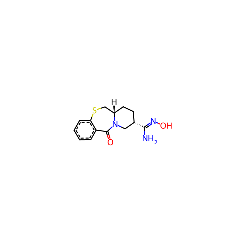 N/C(=N\O)[C@H]1CC[C@H]2CSc3ccccc3C(=O)N2C1